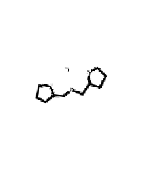 C1COC(COCC2CCCO2)C1.[Ti]